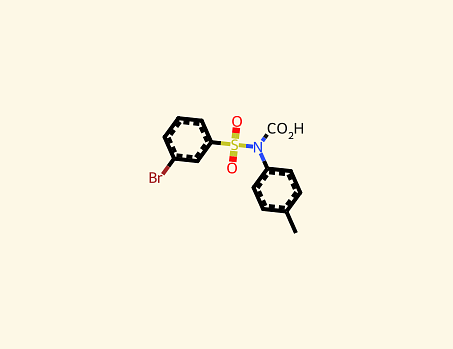 Cc1ccc(N(C(=O)O)S(=O)(=O)c2cccc(Br)c2)cc1